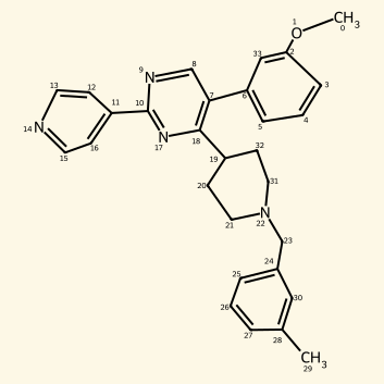 COc1cccc(-c2cnc(-c3ccncc3)nc2C2CCN(Cc3cccc(C)c3)CC2)c1